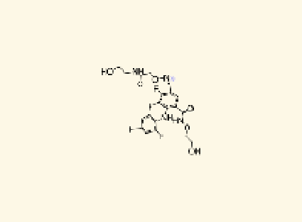 O=C(CO/N=C\c1cc(C(=O)NOCCO)c(Nc2ccc(I)cc2F)c(F)c1F)NCCO